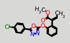 CC=C(C(=O)OC)c1ccccc1Oc1nnc(-c2ccc(Cl)cc2)o1